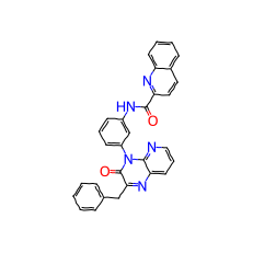 O=C(Nc1cccc(-n2c(=O)c(Cc3ccccc3)nc3cccnc32)c1)c1ccc2ccccc2n1